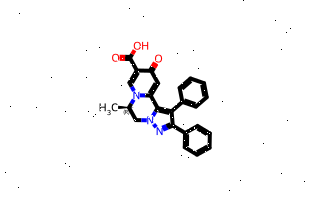 C[C@@H]1Cn2nc(-c3ccccc3)c(-c3ccccc3)c2-c2cc(=O)c(C(=O)O)cn21